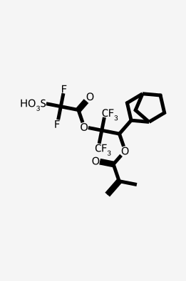 C=C(C)C(=O)OC(C1CC2CCC1C2)C(OC(=O)C(F)(F)S(=O)(=O)O)(C(F)(F)F)C(F)(F)F